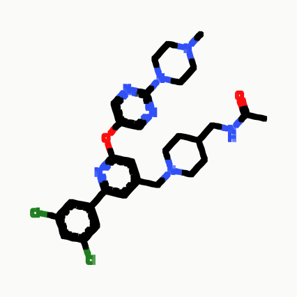 CC(=O)NCC1CCN(Cc2cc(Oc3cnc(N4CCN(C)CC4)nc3)nc(-c3cc(Cl)cc(Cl)c3)c2)CC1